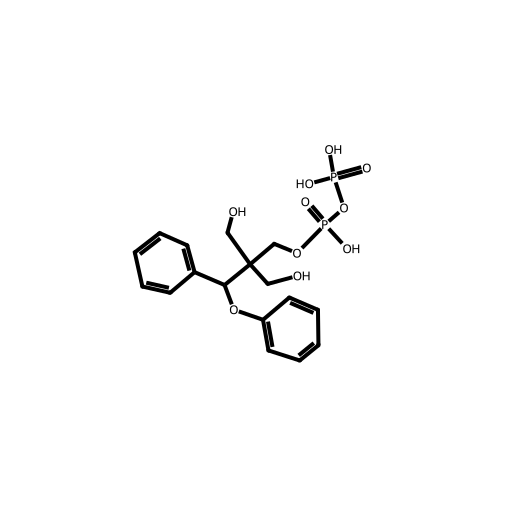 O=P(O)(O)OP(=O)(O)OCC(CO)(CO)C(Oc1ccccc1)c1ccccc1